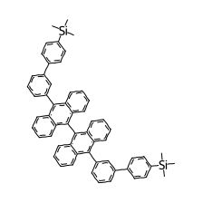 C[Si](C)(C)c1ccc(-c2cccc(-c3c4ccccc4c(-c4c5ccccc5c(-c5cccc(-c6ccc([Si](C)(C)C)cc6)c5)c5ccccc45)c4ccccc34)c2)cc1